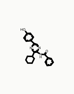 O=C(Nc1ncc(-c2ccc(O)cc2)nc1C1CCCCC1)c1ccccc1